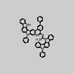 N=C(/N=C(\N)n1c2ccccc2c2ccc3c(c4ccccc4n3-c3ccccc3)c21)c1ccc(-c2ccccc2)cc1-c1ccc2c(c1)c1c3[nH]c4ccccc4c3ccc1n2-c1ccccc1